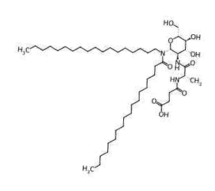 CCCCCCCCCCCCCCCCCCN(C(=O)CCCCCCCCCCCCCCCCC)[C@@H]1O[C@H](CO)[C@@H](O)[C@H](O)[C@H]1NC(=O)[C@H](C)NC(=O)CCC(=O)O